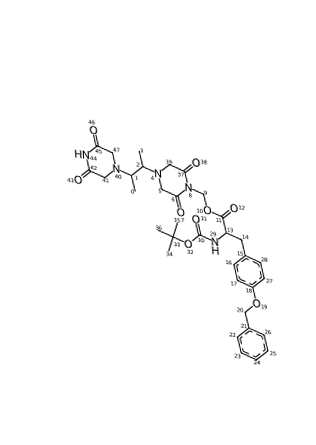 CC(C(C)N1CC(=O)N(COC(=O)C(Cc2ccc(OCc3ccccc3)cc2)NC(=O)OC(C)(C)C)C(=O)C1)N1CC(=O)NC(=O)C1